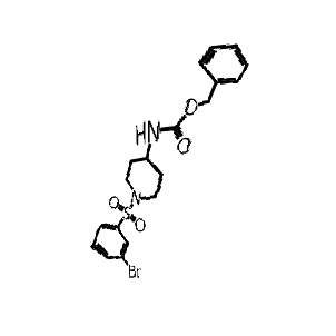 O=C(NC1CCN(S(=O)(=O)c2cccc(Br)c2)CC1)OCc1ccccc1